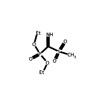 CCOP(=O)(OCC)C(=N)S(C)(=O)=O